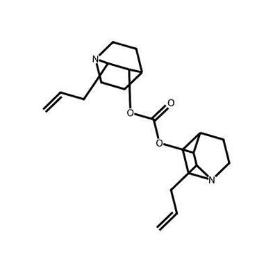 C=CCC1C(OC(=O)OC2C3CCN(CC3)C2CC=C)C2CCN1CC2